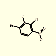 O=[N+]([O-])c1ccc(Br)c(Cl)c1Cl